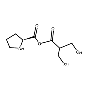 O=C(OC(=O)[C@@H]1CCCN1)C(CO)CS